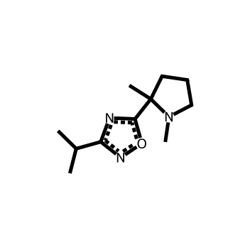 CC(C)c1noc(C2(C)CCCN2C)n1